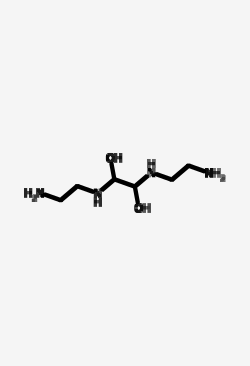 NCCNC(O)C(O)NCCN